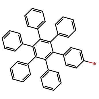 Brc1ccc(-c2c(-c3ccccc3)c(-c3ccccc3)c(-c3ccccc3)c(-c3ccccc3)c2-c2ccccc2)cc1